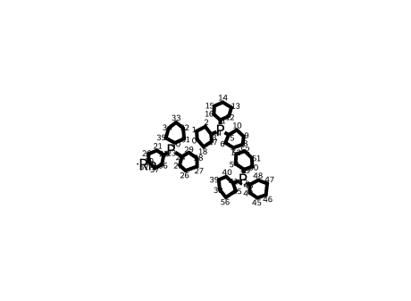 C1CCC(P(C2CCCCC2)C2CCCCC2)CC1.C1CCC(P(C2CCCCC2)C2CCCCC2)CC1.C1CCC(P(C2CCCCC2)C2CCCCC2)CC1.[Rh]